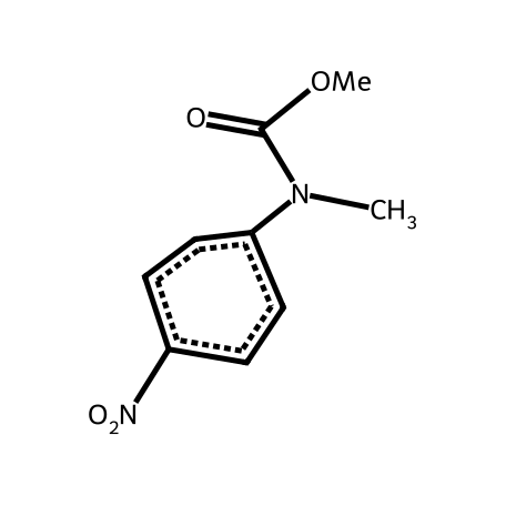 COC(=O)N(C)c1ccc([N+](=O)[O-])cc1